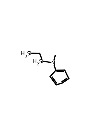 CN([SiH2]C[SiH3])c1ccccc1